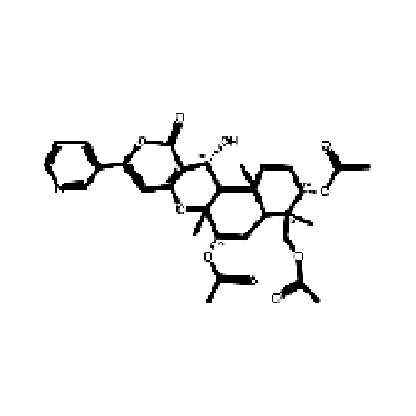 CC(=O)OC[C@]1(C)C2C[C@H](OC(C)=O)C3(C)Oc4cc(-c5cccnc5)oc(=O)c4[C@H](O)C3C2(C)CC[C@@H]1OC(C)=O